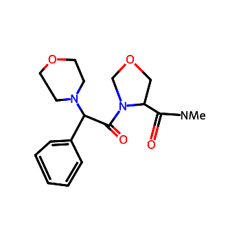 CNC(=O)C1COCN1C(=O)C(c1ccccc1)N1CCOCC1